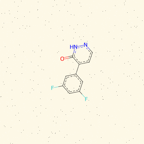 O=c1[nH]nccc1-c1cc(F)cc(F)c1